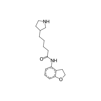 O=C(CCCCC1CCNC1)Nc1cccc2c1CCO2